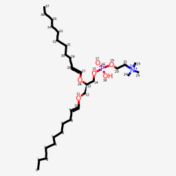 CCCCCCCCCC=COC[C@H](COP(=O)(O)OCC[N+](C)(C)C)OC=CCCCCCCCCC